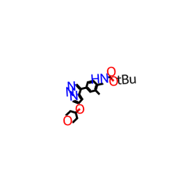 Cc1cc(-c2cnnn3cc(OC4CCOCC4)cc23)ccc1CNC(=O)OC(C)(C)C